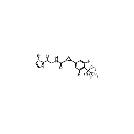 CCn1ccnc1C(=O)CNC(=O)C1CC1c1cc(F)c(C(C)(C)C(F)(F)F)c(F)c1